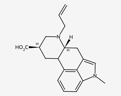 C=CCN1C[C@H](C(=O)O)CC2c3cccc4c3c(cn4C)C[C@H]21